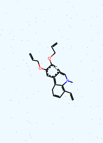 C=CCOc1cc2c(cc1OCC=C)=C1CC=CC(C=C)=C1N(C)C=2